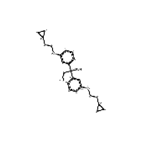 OC(CCl)(c1cccc(OCCC2CC2)c1)c1cccc(OCCC2CC2)c1